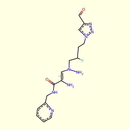 N/C(=C\N(N)CC(F)CCn1cc(C=O)nn1)C(=O)NCc1ccccn1